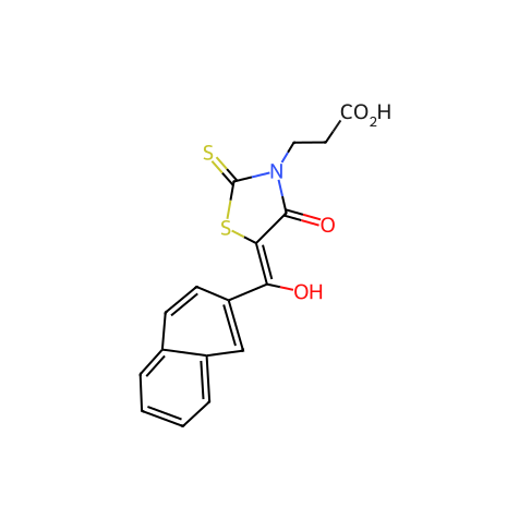 O=C(O)CCN1C(=O)/C(=C(\O)c2ccc3ccccc3c2)SC1=S